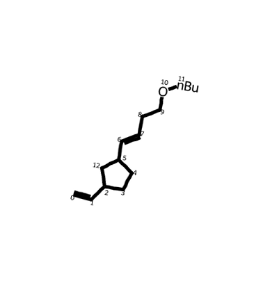 C=CC1CCC(C=CCCOCCCC)C1